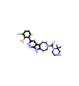 CC1(C)CNCCN1C(=O)N1CCc2[nH]c3nnc(-c4cccc(F)c4O)cc3c2CC1